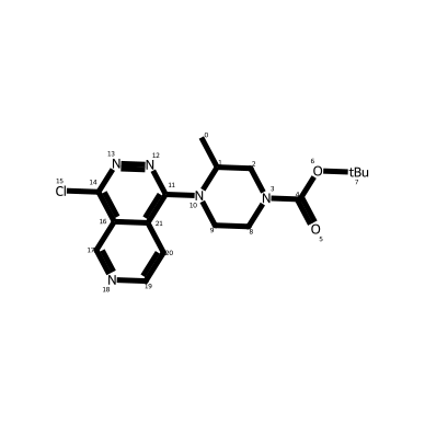 CC1CN(C(=O)OC(C)(C)C)CCN1c1nnc(Cl)c2cnccc12